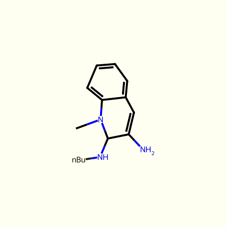 CCCCNC1C(N)=Cc2ccccc2N1C